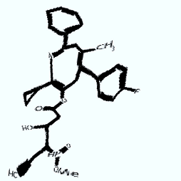 C#CC(C(O)CC(=O)Oc1c(C2CC2)nc(-c2ccccc2)c(C)c1-c1ccc(F)cc1)[PH](=O)OC